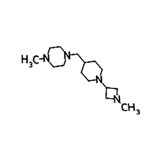 CN1CCN(CC2CCN(C3CN(C)C3)CC2)CC1